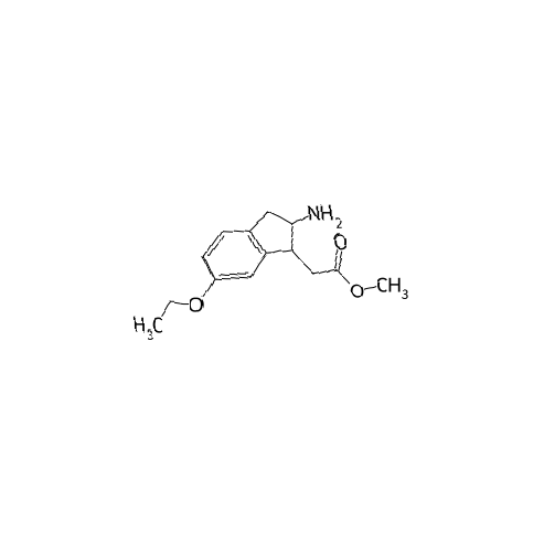 CCOc1ccc2c(c1)C(CC(=O)OC)C(N)C2